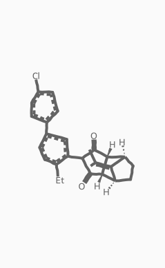 CCc1ccc(-c2ccc(Cl)cc2)cc1C1C(=O)[C@@H]2[C@H](C1=O)[C@H]1CC[C@@H]2C1=C(C)C